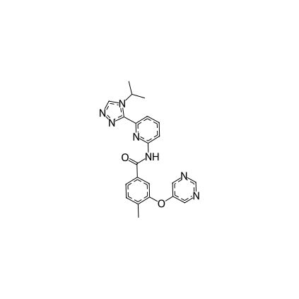 Cc1ccc(C(=O)Nc2cccc(-c3nncn3C(C)C)n2)cc1Oc1cncnc1